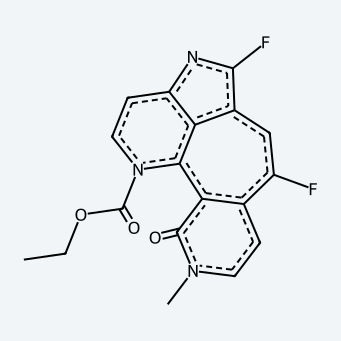 CCOC(=O)n1ccc2nc(F)c3cc(F)c4ccn(C)c(=O)c4c1c23